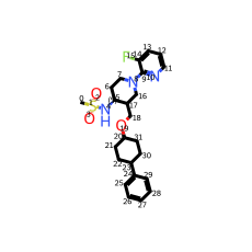 CS(=O)(=O)N[C@H]1CCN(c2ncccc2F)CC1COC1CCC(c2ccccc2)CC1